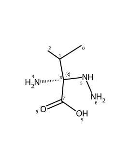 CC(C)[C@@](N)(NN)C(=O)O